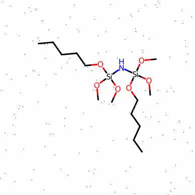 CCCCCO[Si](N[Si](OC)(OC)OCCCCC)(OC)OC